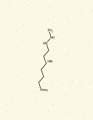 Br.CCCCCCCCCCCCNNP